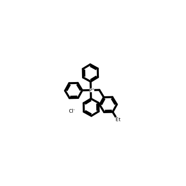 CCc1ccc(C[P+](c2ccccc2)(c2ccccc2)c2ccccc2)cc1.[Cl-]